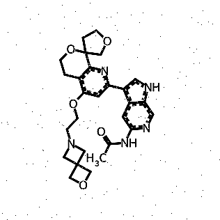 CC(=O)Nc1cc2c(-c3cc(OCCN4CC5(COC5)C4)c4c(n3)C3(CCOC3)OCC4)c[nH]c2cn1